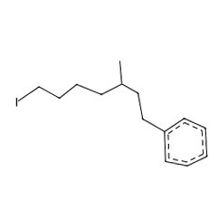 CC(CCCCI)CCc1ccccc1